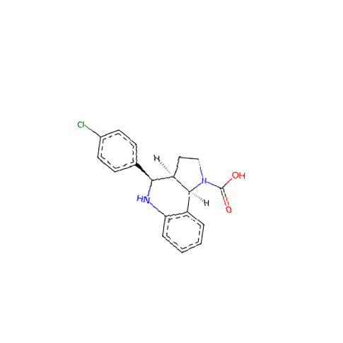 O=C(O)N1CC[C@@H]2[C@H](c3ccc(Cl)cc3)Nc3ccccc3[C@@H]21